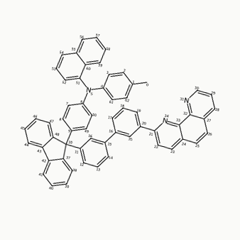 Cc1ccc(N(c2ccc(C3(c4cccc(-c5cccc(-c6ccc7ccc8cccnc8c7n6)c5)c4)c4ccccc4-c4ccccc43)cc2)c2cccc3ccccc23)cc1